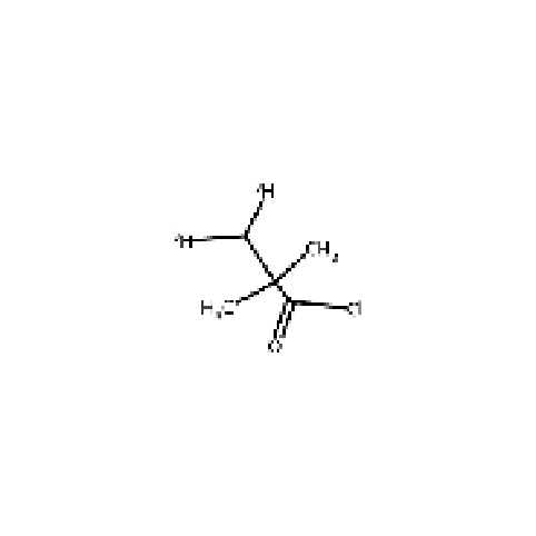 [3H]C([3H])C(C)(C)C(=O)Cl